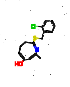 CC1=C/C(O)=C\CC/C(SCc2ccccc2Cl)=N\1